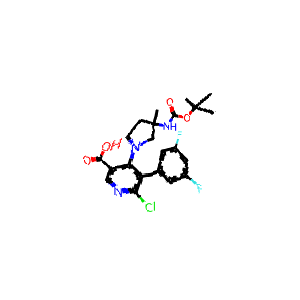 CC1(NC(=O)OC(C)(C)C)CCN(c2c(C(=O)O)cnc(Cl)c2-c2cc(F)cc(F)c2)C1